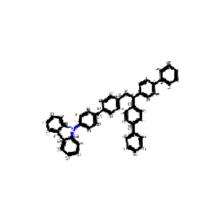 c1ccc(-c2ccc(C(Cc3ccc(-c4ccc(-n5c6ccccc6c6ccccc65)cc4)cc3)c3ccc(-c4ccccc4)cc3)cc2)cc1